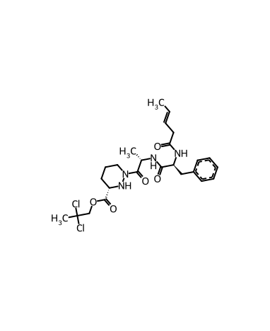 C/C=C/CC(=O)N[C@@H](Cc1ccccc1)C(=O)N[C@@H](C)C(=O)N1CCC[C@@H](C(=O)OCC(C)(Cl)Cl)N1